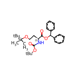 CC(C)(C)OC(=O)N[C@@H](CCO[Si](C)(C)C(C)(C)C)C(=O)OC(c1ccccc1)c1ccccc1